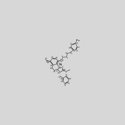 CCN1C[C@@H]2c3c(OCCCCc4ccc(F)cc4)ccc(OC)c3CCC2[C@H]1Cc1ccccc1